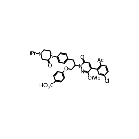 COc1nn(C(COc2ccc(C(=O)O)cc2)Cc2ccc(N3CCN(C(C)C)CC3=O)cc2)c(=O)cc1-c1cc(Cl)ccc1C(C)=O